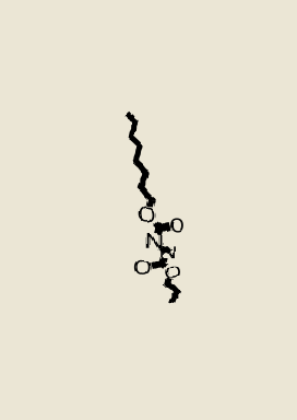 CCCCCCCCOC(=O)N=NC(=O)OCCC